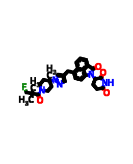 CC(C)(CF)C(=O)N1CCC(C)(n2cc(Cc3ccc4c5c(cccc35)C(=O)N4C3CCC(=O)NC3=O)cn2)CC1